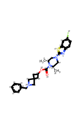 C[C@@H]1CN(c2nc3ccc(F)cc3s2)C[C@H](C)N1C(=O)OC1CC2(C1)CN(Cc1ccccc1)C2